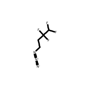 [N-]=[N+]=NCCC(F)(F)[C](F)F